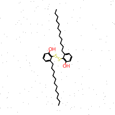 CCCCCCCCCCCCc1cccc(O)c1SSc1c(O)cccc1CCCCCCCCCCCC